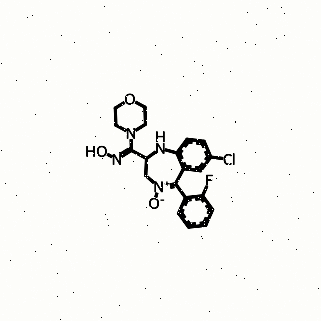 [O-][N+]1=C(c2ccccc2F)c2cc(Cl)ccc2NC(C(=NO)N2CCOCC2)C1